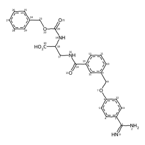 N=C(N)c1ccc(OCc2cccc(C(=O)NCC(NC(=O)OCc3ccccc3)C(=O)O)c2)cc1